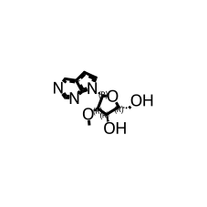 CO[C@@H]1[C@H](O)[C@@H](CO)O[C@H]1n1ccc2cncnc21